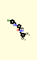 CC(C)[C@]1(C(=O)NCc2cc(C(F)(F)F)cc(C(F)(F)F)c2)CC[C@@H](NCc2ccc(Br)cc2)C1